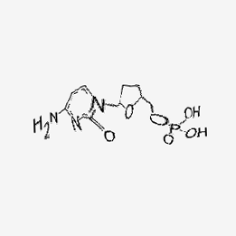 Nc1ccn(C2CCC(COP(=O)(O)O)O2)c(=O)n1